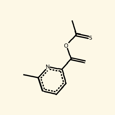 C=C(OC(C)=S)c1cccc(C)n1